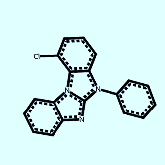 Clc1cccc2c1n1c3ccccc3nc1n2-c1ccccc1